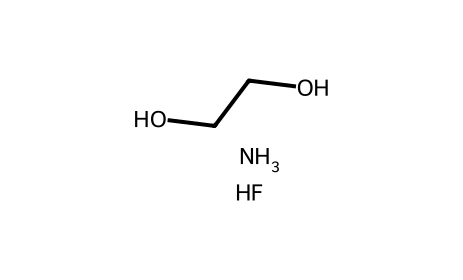 F.N.OCCO